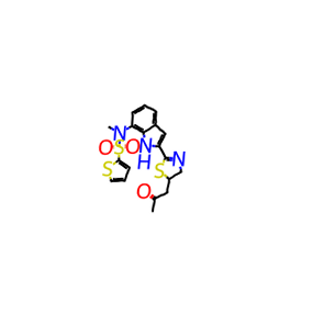 CC(=O)CC1CN=C(c2cc3cccc(N(C)S(=O)(=O)c4cccs4)c3[nH]2)S1